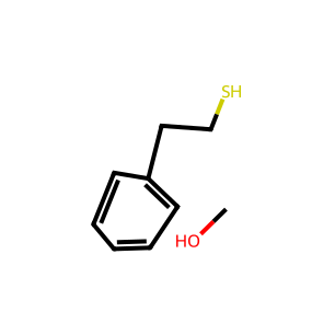 CO.SCCc1ccccc1